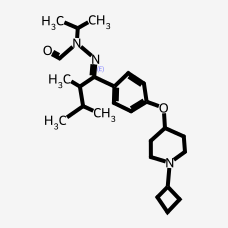 CC(C)C(C)/C(=N\N(C=O)C(C)C)c1ccc(OC2CCN(C3CCC3)CC2)cc1